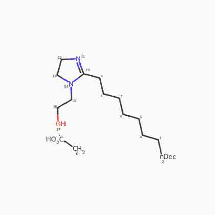 CC(=O)O.CCCCCCCCCCCCCCCCCC1=NCCN1CCO